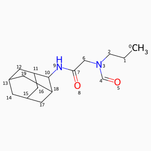 CCCN(C=O)CC(=O)NC1C2CC3CC(C2)CC1C3